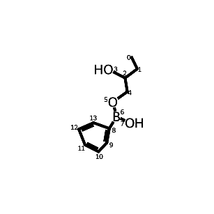 CCC(O)COB(O)c1ccccc1